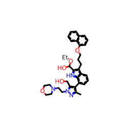 CCOC(O)c1[nH]c2c(-c3c(C)nn(CCN4CCOCC4)c3CO)cccc2c1CCCOc1cccc2ccccc12